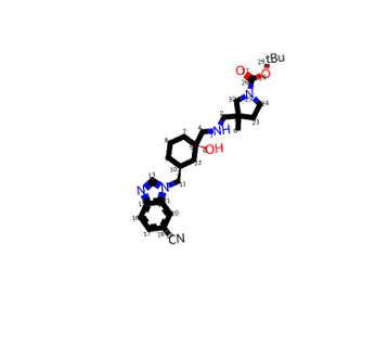 CC1(CNC[C@]2(O)CCC[C@H](Cn3cnc4ccc(C#N)cc43)C2)CCN(C(=O)OC(C)(C)C)C1